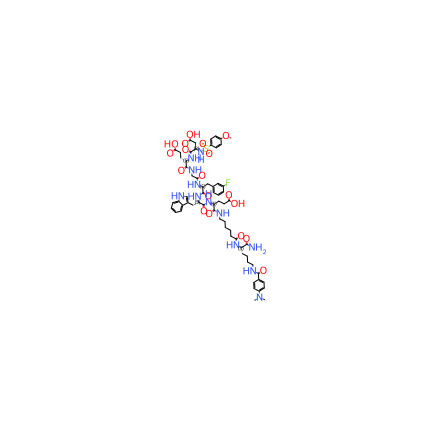 COc1ccc(S(=O)(=O)N[C@H](CC(=O)O)C(=O)N[C@@H](CCC(=O)O)C(=O)NCC(=O)N[C@@H](Cc2cccc(F)c2)C(=O)N[C@@H](Cc2c[nH]c3ccccc23)C(=O)N[C@@H](CCC(=O)O)C(=O)NCCCCCC(=O)N[C@@H](CCCCNC(=O)c2ccc(N(C)C)cc2)C(N)=O)cc1